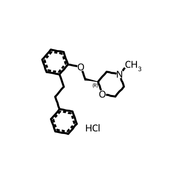 CN1CCO[C@@H](COc2ccccc2CCc2ccccc2)C1.Cl